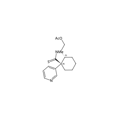 CNC(=S)[C@]1(c2cccnc2)CCCC[C@H]1CCOC(C)=O